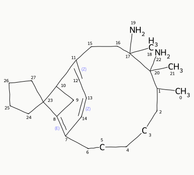 CC1CCCCCC2=C3/CC(\C(=C/C=C\2)CCC(C)(N)C1(C)N)C31CCCC1